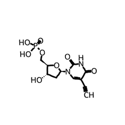 C#Cc1cn([C@H]2C[C@H](O)[C@@H](COP(=O)(O)O)O2)c(=O)[nH]c1=O